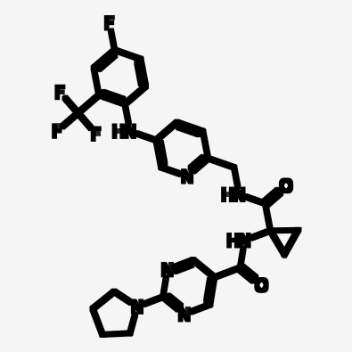 O=C(NC1(C(=O)NCc2ccc(Nc3ccc(F)cc3C(F)(F)F)cn2)CC1)c1cnc(N2CCCC2)nc1